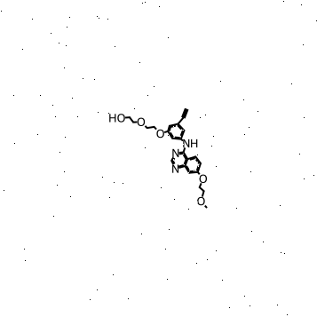 C#Cc1cc(Nc2ncnc3cc(OCCOC)ccc23)cc(OCCOCCO)c1